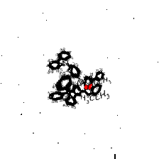 CC1(C)CCC(C)(C)c2cc(-c3cc4c(cc3N(c3ccc(-c5ccccc5)cc3)c3ccc(-n5c6ccccc6c6ccccc65)cc3)C(c3ccccc3)(c3ccccc3)c3ccccc3-4)ccc21